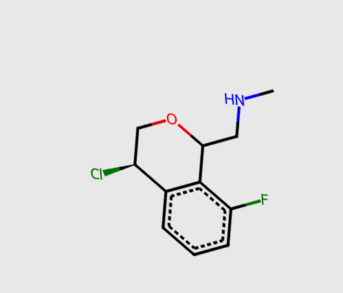 CNCC1OC[C@H](Cl)c2cccc(F)c21